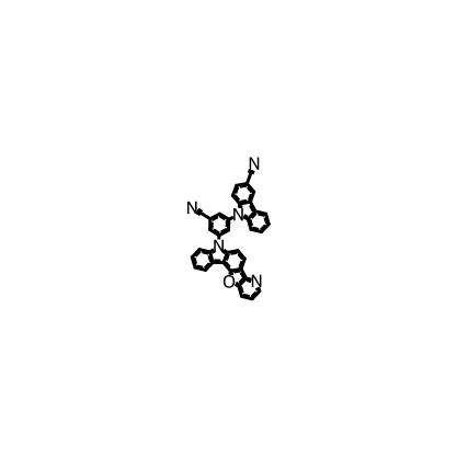 N#Cc1cc(-n2c3ccccc3c3cc(C#N)ccc32)cc(-n2c3ccccc3c3c4oc5cccnc5c4ccc32)c1